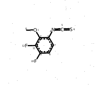 COc1c(N=C=S)ccc(F)c1F